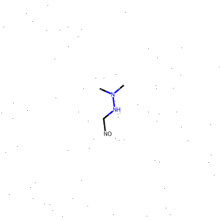 CN(C)NCN=O